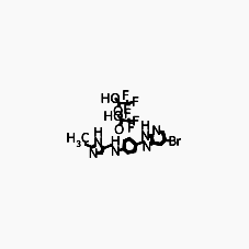 CCc1ncc(CNc2ccc(-c3nc4cc(Br)cnc4[nH]3)cc2)[nH]1.O=C(O)C(F)(F)F.O=C(O)C(F)(F)F